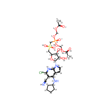 CC(=O)OCOP(=O)(CS(=O)(=O)CC1O[C@@H](n2ccc3c(NC4CCCC4)c(C#N)c(Cl)nc32)[C@H](O)[C@@H]1O)OCOC(C)=O